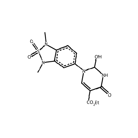 CCOC(=O)C1=CN(c2ccc3c(c2)N(C)S(=O)(=O)N3C)C(O)NC1=O